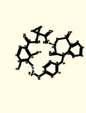 O=C1C[C@@H](NC(=O)C2(NC(=O)c3ccc(F)c(F)c3F)CC2)C(=O)N(Cc2ccc(OC(F)(F)F)cc2)c2ccccc21